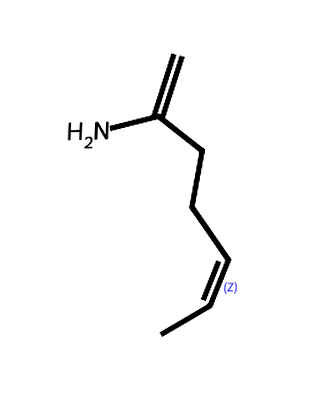 C=C(N)CC/C=C\C